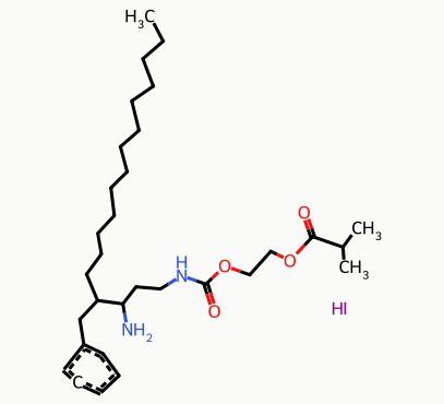 CCCCCCCCCCCCCC(Cc1ccccc1)C(N)CCNC(=O)OCCOC(=O)C(C)C.I